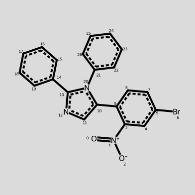 O=[N+]([O-])c1cc(Br)ccc1-c1cnc(-c2ccccc2)n1-c1ccccc1